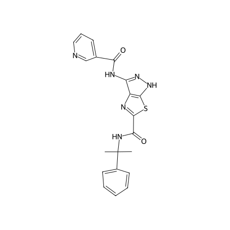 CC(C)(NC(=O)c1nc2c(NC(=O)c3cccnc3)n[nH]c2s1)c1ccccc1